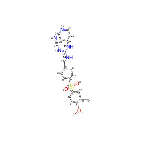 COc1ccc(S(=O)(=O)c2ccc(CNC(=NC#N)Nc3ccncc3)cc2)cc1C